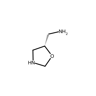 NC[C@H]1CNCO1